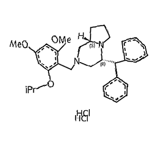 COc1cc(OC)c(CN2C[C@@H]3CCCN3[C@H](C(c3ccccc3)c3ccccc3)C2)c(OC(C)C)c1.Cl.Cl